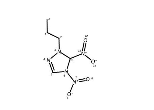 CCCN1N=CN([N+](=O)[O-])C1[N+](=O)[O-]